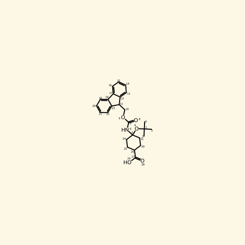 CC(C)(C)OC1(NC(=O)OCC2c3ccccc3-c3ccccc32)CCC(C(=O)O)CC1